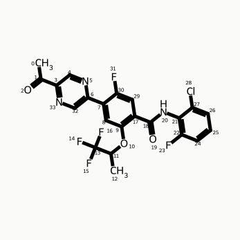 CC(=O)c1cnc(-c2cc(OC(C)C(F)(F)F)c(C(=O)Nc3c(F)cccc3Cl)cc2F)cn1